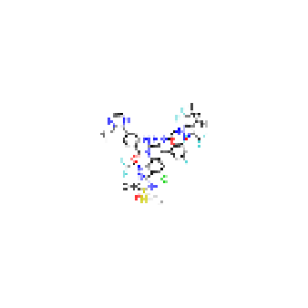 Cc1nccnc1-c1ccc2c(=O)n(-c3ccc(Cl)c4c(N[SH](C)(=O)C=O)nn(CC(F)F)c34)c([C@H](Cc3cc(F)cc(F)c3)NC(=O)Cn3nc(C(F)F)c4c3C(F)(F)[C@H]3C[C@@H]43)nc2c1